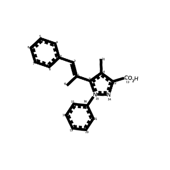 C/C(=C\c1ccccc1)c1c(C)c(C(=O)O)nn1-c1ccccc1